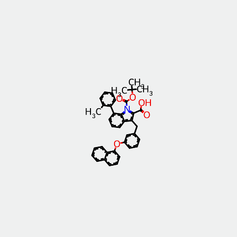 Cc1ccccc1-c1cccc2c(Cc3cccc(Oc4cccc5ccccc45)c3)c(C(=O)O)n(C(=O)OC(C)(C)C)c12